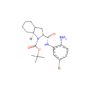 CC(C)(C)OC(=O)N1C(C(=O)Nc2cc(Br)ccc2N)CC2CCCC[C@@H]21